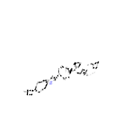 O=C(CN1CCOCC1)N1CCC(/C=C/c2ccc(O)cc2)CC1